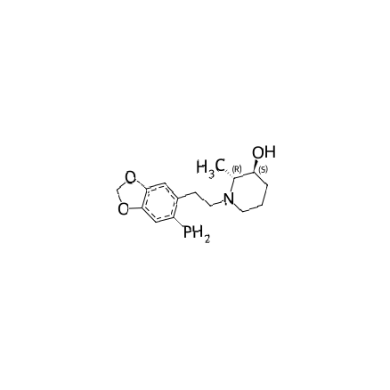 C[C@@H]1[C@@H](O)CCCN1CCc1cc2c(cc1P)OCO2